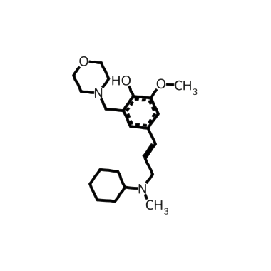 COc1cc(C=CCN(C)C2CCCCC2)cc(CN2CCOCC2)c1O